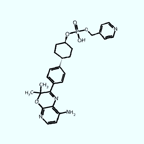 CC1(C)Oc2nccc(N)c2N=C1c1ccc([C@H]2CC[C@H](OP(=O)(O)OCc3ccncc3)CC2)cc1